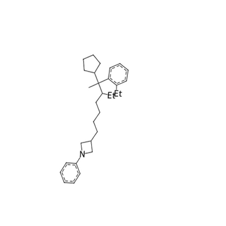 CCc1ccccc1C(C)(C(CC)CCCCC1CN(c2ccccc2)C1)C1CCCC1